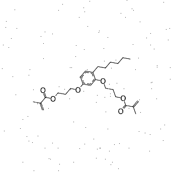 C=C(C)C(=O)OCCCOc1ccc(CCCCCC)c(OCCCOC(=O)C(=C)C)c1